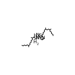 CCCCCC(C)CCCCCC(C)C[SiH2]c1cncc(-c2cccnc2[SiH2]CCCCC(C)CCC(C)CCCCC)n1